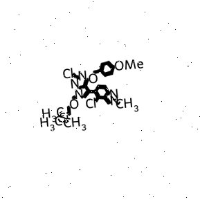 COc1ccc(COc2nc(Cl)nc3c2c(-c2ccc4nn(C)cc4c2Cl)cn3COCC[Si](C)(C)C)cc1